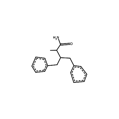 CC(C(N)=O)C(Cc1ccccc1)Cc1ccccc1